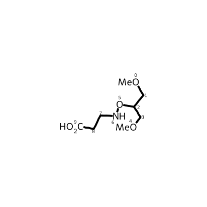 COCC(COC)ONCCC(=O)O